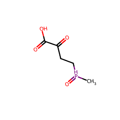 C[PH](=O)CCC(=O)C(=O)O